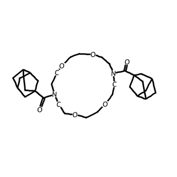 O=C(N1CCOCCOCCN(C(=O)C23CC4CC(C2)C(C4)C3)CCOCCOCC1)C12CC3CC(C1)C(C3)C2